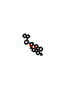 CC(C)(C)c1ccc2c(c1)C1(c3ccccc3-c3ccc(-c4ccc(C5=CC6=C(CC=C5)Sc5cccc7cccc6c57)cc4)cc31)c1cc(C(C)(C)C)ccc1-2